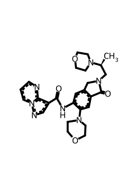 C[C@@H](CN1Cc2cc(NC(=O)c3cnn4cccnc34)c(N3CCOCC3)cc2C1=O)N1CCOCC1